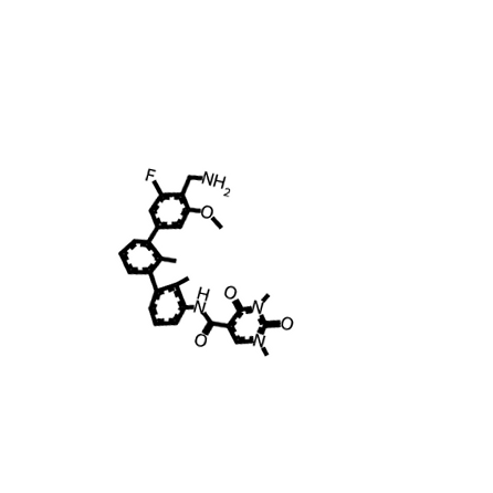 COc1cc(-c2cccc(-c3cccc(NC(=O)c4cn(C)c(=O)n(C)c4=O)c3C)c2C)cc(F)c1CN